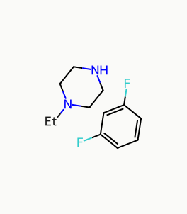 CCN1CCNCC1.Fc1cccc(F)c1